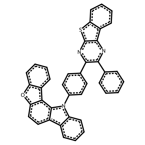 c1ccc(-c2nc3c(nc2-c2ccc(-n4c5ccccc5c5ccc6oc7ccccc7c6c54)cc2)sc2ccccc23)cc1